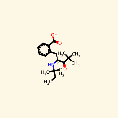 CCC(C)(C)N[C@@H](Cc1ccccc1C(=O)O)C(=O)C(C)(C)C